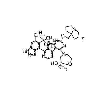 CC(C)(C)c1c(Cl)cc2[nH]ncc2c1-c1nccc2c1sc1nc(OC[C@@]34CCCN3C[C@H](F)C4)nc(N3CCOC[C@@](C)(O)C3)c12